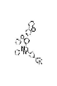 c1ccc(-c2nc(-c3ccc(-c4ccncc4)cc3)cc(-c3ccc(-c4ccc5c(c4)oc4ccccc45)c4oc5ccccc5c34)n2)cc1